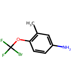 Cc1cc(N)ccc1OC(F)(F)Br